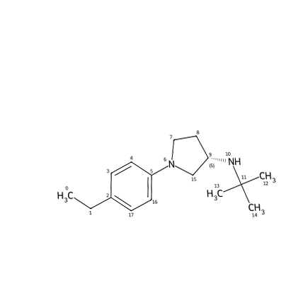 CCc1ccc(N2CC[C@H](NC(C)(C)C)C2)cc1